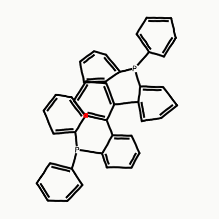 c1ccc(P(c2ccccc2)c2ccccc2-c2ccccc2-c2ccccc2P(c2ccccc2)c2ccccc2)cc1